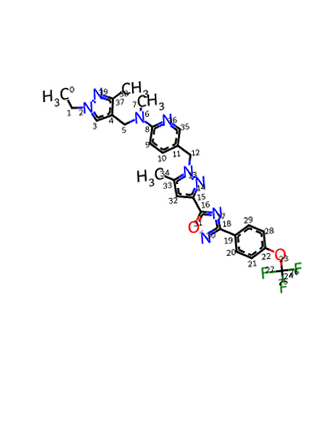 CCn1cc(CN(C)c2ccc(Cn3nc(-c4nc(-c5ccc(OC(F)(F)F)cc5)no4)cc3C)cn2)c(C)n1